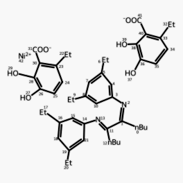 CCCCC(=Nc1cc(CC)cc(CC)c1)C(CCCC)=Nc1cc(CC)cc(CC)c1.CCc1ccc(O)c(O)c1C(=O)[O-].CCc1ccc(O)c(O)c1C(=O)[O-].[Ni+2]